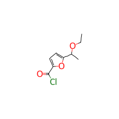 CCOC(C)c1ccc(C(=O)Cl)o1